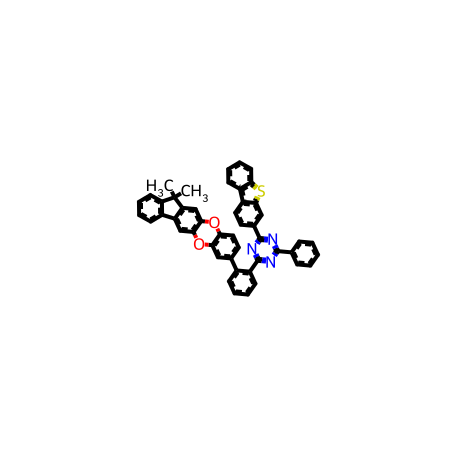 CC1(C)c2ccccc2-c2cc3c(cc21)Oc1ccc(-c2ccccc2-c2nc(-c4ccccc4)nc(-c4ccc5c(c4)sc4ccccc45)n2)cc1O3